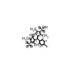 CC1=C(S(=O)(=O)O)C(C)=[N+]2Bn3c(C)c(S(=O)(=O)[O-])c(C)c3C(c3ccc(I)cc3)=C12